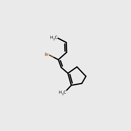 C/C=C\C(Br)=C/C1=C(C)CCC1